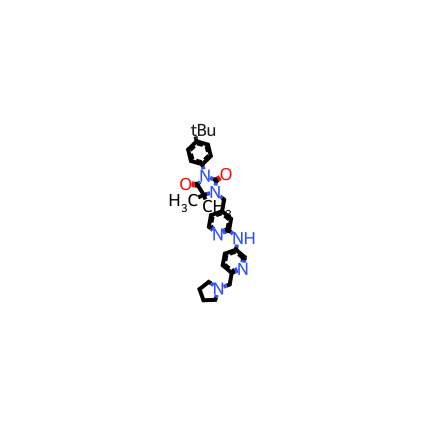 CC(C)(C)c1ccc(N2C(=O)N(Cc3ccnc(Nc4ccc(CN5CCCC5)nc4)c3)C(C)(C)C2=O)cc1